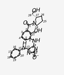 O=C(c1cccc(Nc2n[s+]([O-])nc2Nc2ccccc2)c1O)N1CCC[C@H]1CO